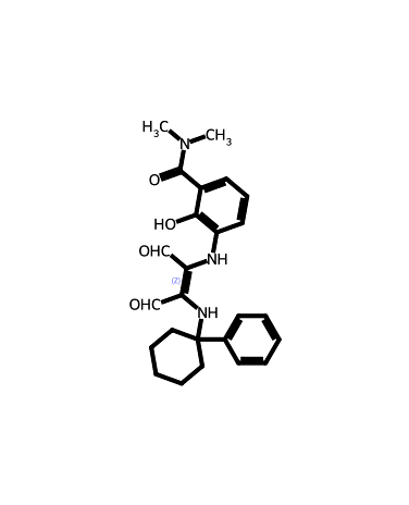 CN(C)C(=O)c1cccc(N/C(C=O)=C(/C=O)NC2(c3ccccc3)CCCCC2)c1O